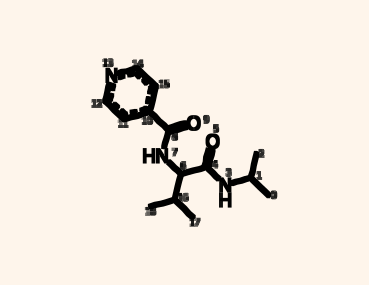 CC(C)NC(=O)C(NC(=O)c1ccncc1)C(C)C